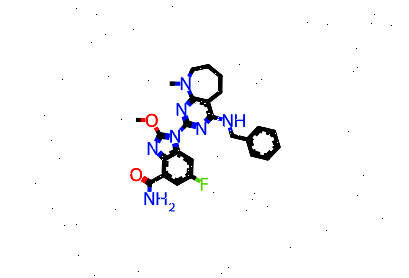 COc1nc2c(C(N)=O)cc(F)cc2n1-c1nc(NCc2ccccc2)c2c(n1)N(C)CCCC2